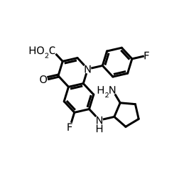 NC1CCCC1Nc1cc2c(cc1F)c(=O)c(C(=O)O)cn2-c1ccc(F)cc1